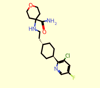 NC(=O)C1(NCC[C@H]2CC[C@H](c3ncc(F)cc3Cl)CC2)CCOCC1